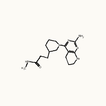 CNC(=O)CCC1CCCN(c2nc(N)nc3c2CCCN3)C1